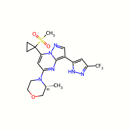 C[C@@H]1COCCN1c1cc(C2(S(C)(=O)=O)CC2)n2ncc(-c3cc(C(F)(F)F)n[nH]3)c2n1